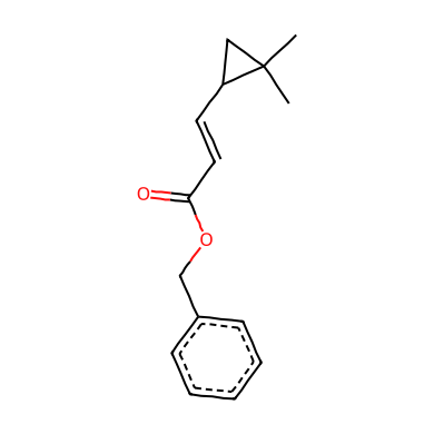 CC1(C)CC1C=CC(=O)OCc1ccccc1